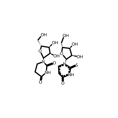 O=C1CCN([C@@H]2O[C@H](CO)[C@@H](O)[C@H]2O)C(=O)N1.O=c1ccn([C@@H]2O[C@H](CO)[C@@H](O)[C@H]2O)c(=S)[nH]1